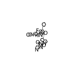 Cc1cc(N2CCOCC2)cc(F)c1C(=O)N[C@@H](Cc1ccc(-n2c(=O)c3ccncc3n(C)c2=O)c2ncccc12)C(=O)OCCc1ccccc1